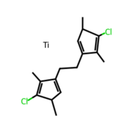 CC1=C(Cl)C(C)C=C1CCC1=CC(C)C(Cl)=C1C.[Ti]